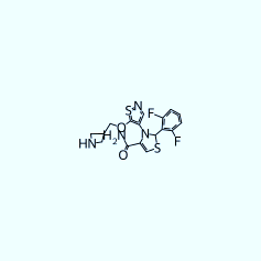 NC(=O)C1=CSC(c2c(F)cccc2F)N1c1cnsc1OCC1CNC1